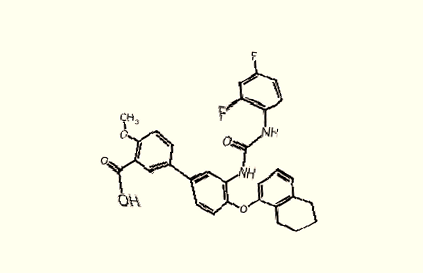 COc1ccc(-c2ccc(Oc3cccc4c3CCCC4)c(NC(=O)Nc3ccc(F)cc3F)c2)cc1C(=O)O